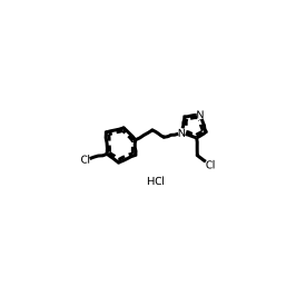 Cl.ClCc1cncn1CCc1ccc(Cl)cc1